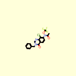 CC(=O)N(OC(F)(F)F)c1ccc2c(=O)n(Cc3ccccc3)cnc2c1Cl